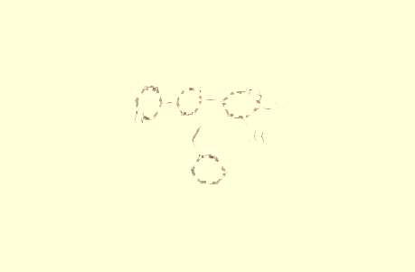 Cc1cc(-c2ncc(-c3cccnc3)cc2/C=C/c2ccccc2)cnc1Br